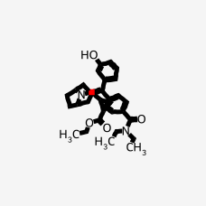 CCOC(=O)C1CC1CN1C2CCC1CC(=C(c1ccc(C(=O)N(CC)CC)cc1)c1cccc(O)c1)C2